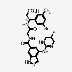 O=C(O)C[C@H](NC(=O)CNC(=O)c1cc(NC2=NCC(F)CN2)c2cn[nH]c2c1)c1cc(Br)cc(C(F)(F)F)c1